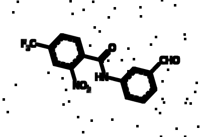 O=Cc1cccc(NC(=O)c2ccc(C(F)(F)F)cc2[N+](=O)[O-])c1